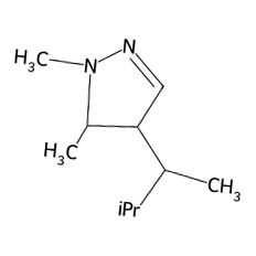 CC(C)C(C)C1C=NN(C)C1C